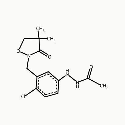 CC(=O)NNc1ccc(Cl)c(CN2OCC(C)(C)C2=O)c1